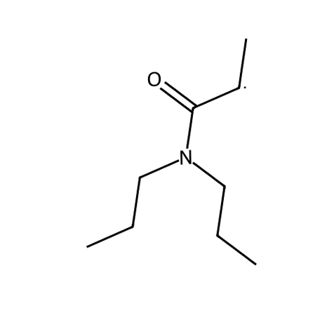 C[CH]C(=O)N(CCC)CCC